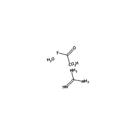 N=C(N)N.O.O=C(O)C(=O)F